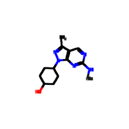 Bc1nn(C2CCC(O)CC2)c2nc(NCCCC)ncc12